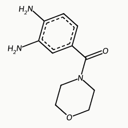 Nc1ccc(C(=O)N2CCOCC2)cc1N